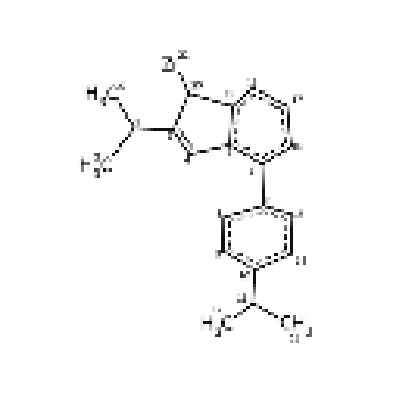 CC(C)C1=Cc2c(-c3ccc(C(C)C)cc3)cccc2[CH]1[Zr]